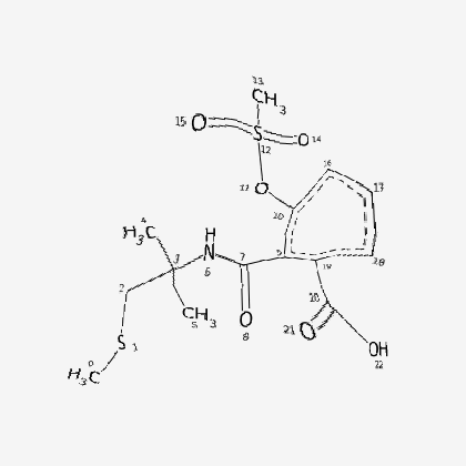 CSCC(C)(C)NC(=O)c1c(OS(C)(=O)=O)cccc1C(=O)O